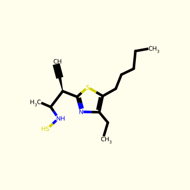 C#C[C@@H](c1nc(CC)c(CCCCC)s1)C(C)NS